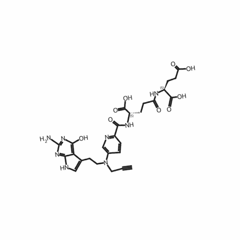 C#CCN(CCc1c[nH]c2nc(N)nc(O)c12)c1ccc(C(=O)N[C@@H](CCC(=O)N[C@@H](CCC(=O)O)C(=O)O)C(=O)O)nc1